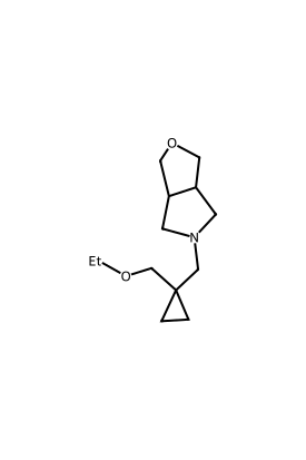 CCOCC1(CN2CC3COCC3C2)CC1